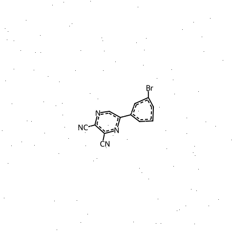 N#Cc1ncc(-c2cccc(Br)c2)nc1C#N